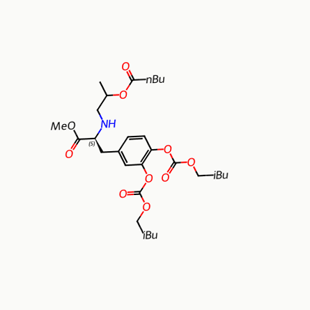 CCCCC(=O)OC(C)CN[C@@H](Cc1ccc(OC(=O)OCC(C)CC)c(OC(=O)OCC(C)CC)c1)C(=O)OC